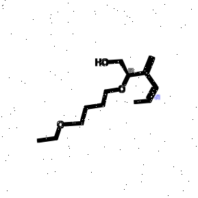 C=C(/C=C\C)[C@H](CO)OCCCCOCC